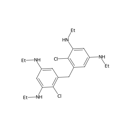 CCNc1cc(Cc2cc(NCC)cc(NCC)c2Cl)c(Cl)c(NCC)c1